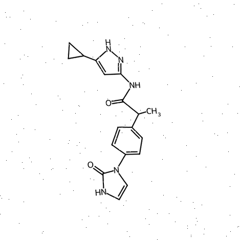 CC(C(=O)Nc1cc(C2CC2)[nH]n1)c1ccc(-n2cc[nH]c2=O)cc1